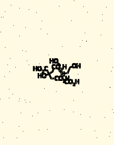 O=C(O)CC(O)(CC(=O)O)C(=O)O.O=C(O)CN(CCO)CCO